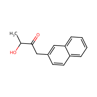 CC(O)C(=O)Cc1ccc2ccccc2c1